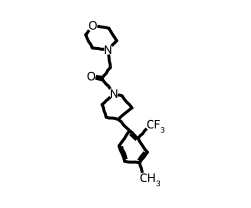 Cc1ccc(C2CCN(C(=O)CN3CCOCC3)CC2)c(C(F)(F)F)c1